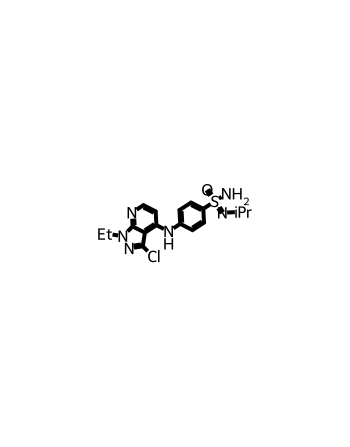 CCn1nc(Cl)c2c(Nc3ccc(S(N)(=O)=NC(C)C)cc3)ccnc21